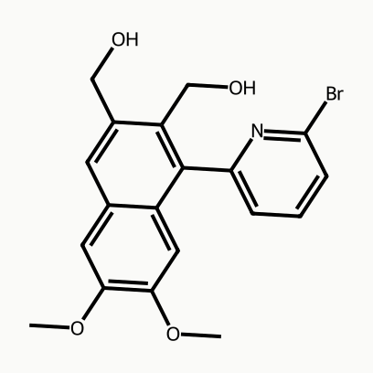 COc1cc2cc(CO)c(CO)c(-c3cccc(Br)n3)c2cc1OC